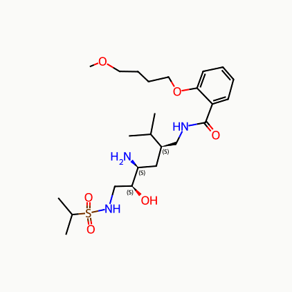 COCCCCOc1ccccc1C(=O)NC[C@@H](C[C@H](N)[C@@H](O)CNS(=O)(=O)C(C)C)C(C)C